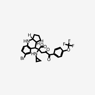 O=C(CC(NC1CC1)(C(=O)O)C1c2cc(Br)ccc2N[C@@H]2CCC[C@H]12)C(=O)c1ccc(OC(F)(F)F)cc1